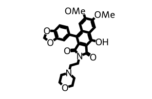 COc1cc2c(O)c3c(c(-c4ccc5c(c4)OCO5)c2cc1OC)C(=O)N(CCN1CCOCC1)C3=O